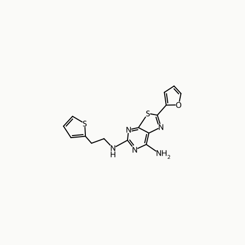 Nc1nc(NCCc2cccs2)nc2sc(-c3ccco3)nc12